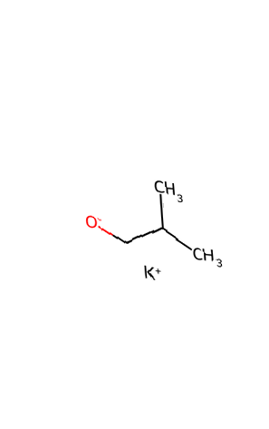 CC(C)C[O-].[K+]